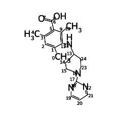 Cc1cc(C)c(C(=O)O)c(C)c1NC1CCN(c2ncccn2)CC1